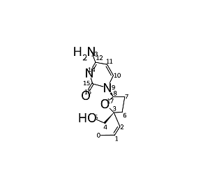 C/C=C\[C@@]1(CO)CC[C@H](n2ccc(N)nc2=O)O1